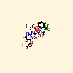 COc1cccc(C(F)(F)F)c1N(CF)S(=O)(=O)c1nc2nccc(OC)n2n1